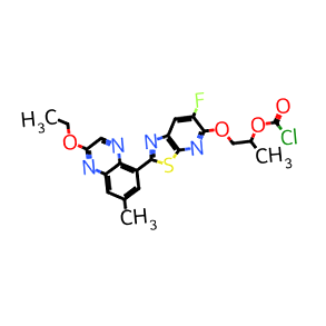 CCOc1cnc2c(-c3nc4cc(F)c(OCC(C)OC(=O)Cl)nc4s3)cc(C)cc2n1